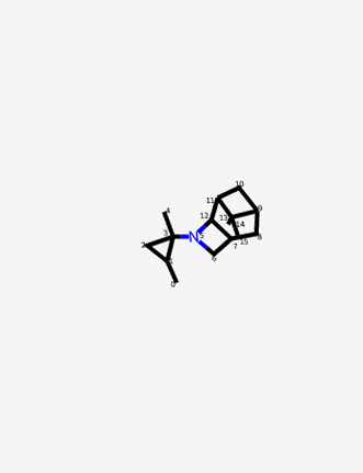 CC1CC1(C)N1CC2CC3CC(C21)C3(C)C